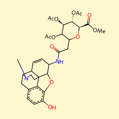 COC(=O)[C@H]1OC(CC(=O)NC2C=CC3C4Cc5ccc(O)c6c5C3(CCN4C)C2O6)C(OC(C)=O)[C@@H](OC(C)=O)[C@@H]1OC(C)=O